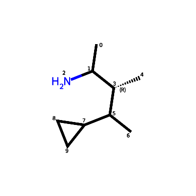 CC(N)[C@H](C)C(C)C1CC1